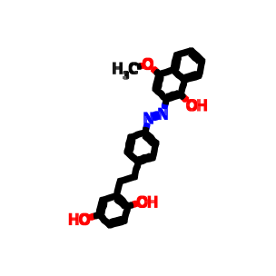 COc1cc(N=Nc2ccc(CCc3cc(O)ccc3O)cc2)c(O)c2ccccc12